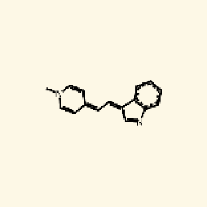 CN1C=CC(=CC=C2C=Nc3ccccc32)C=C1